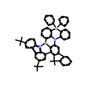 CC(C)(C)c1ccc2c(c1)c1cc(C(C)(C)C)cc3c1n2B1c2cccc4c2N(c2ccccc2[Si]4(c2ccccc2)c2ccccc2)c2cc4c(c-3c21)C(C)(C)c1ccccc1-4